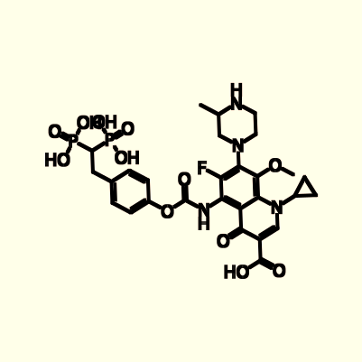 COc1c(N2CCNC(C)C2)c(F)c(NC(=O)Oc2ccc(CC(P(=O)(O)O)P(=O)(O)O)cc2)c2c(=O)c(C(=O)O)cn(C3CC3)c12